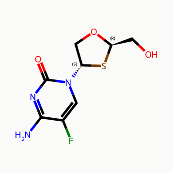 Nc1nc(=O)n([C@@H]2CO[C@@H](CO)S2)cc1F